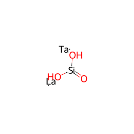 O=[Si](O)O.[La].[Ta]